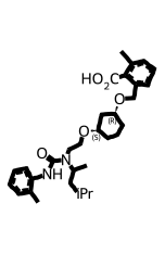 Cc1ccccc1NC(=O)N(CCO[C@H]1CCC[C@@H](OCc2cccc(C)c2C(=O)O)C1)C(C)CC(C)C